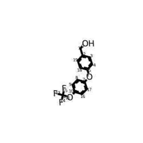 OCc1ccc(Oc2ccc(OC(F)(F)F)cc2)cc1